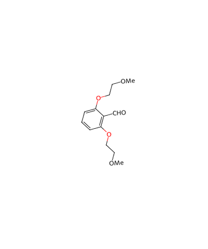 COCCOc1cccc(OCCOC)c1C=O